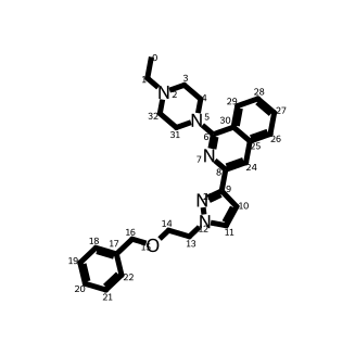 CCN1CCN(c2nc(-c3ccn(CCOCc4ccccc4)n3)cc3ccccc23)CC1